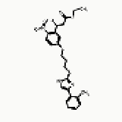 CCOC(=O)CC(O)c1cc(OCCCSc2nc(-c3ccccc3C)c[nH]2)ccc1[N+](=O)[O-]